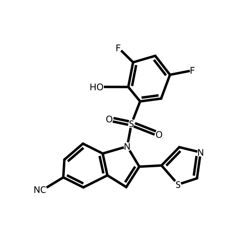 N#Cc1ccc2c(c1)cc(-c1cncs1)n2S(=O)(=O)c1cc(F)cc(F)c1O